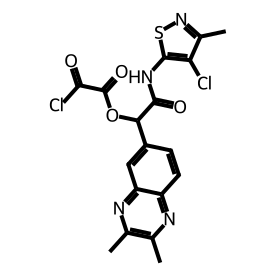 Cc1nc2ccc(C(OC(=O)C(=O)Cl)C(=O)Nc3snc(C)c3Cl)cc2nc1C